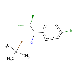 CC(C)(C)SNC(c1ccc(Br)cc1)C(F)F